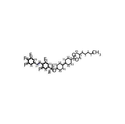 CCCCCC1COC(C2CCC(C3CCC(OC(F)(F)c4cc(F)c(/C=C/c5cc(F)c(F)c(F)c5)c(F)c4)CC3)CC2)OC1